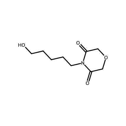 O=C1COCC(=O)N1CCCCCO